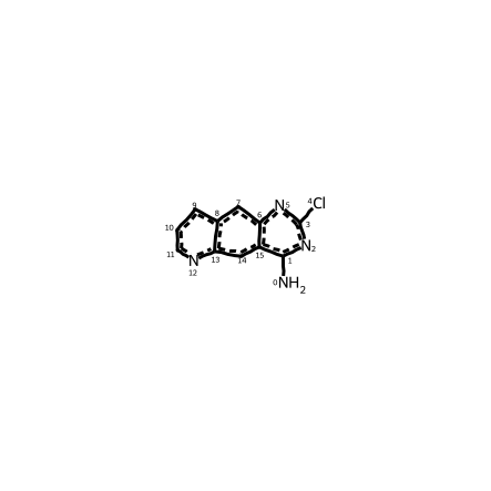 Nc1nc(Cl)nc2cc3cccnc3cc12